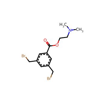 CN(C)CCOC(=O)c1cc(CBr)cc(CBr)c1